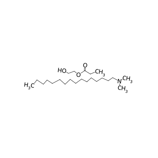 CCC(=O)OCCO.CCCCCCCCCCCCCCCCN(C)C